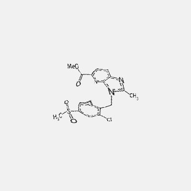 COC(=O)c1ccc2nc(C)n(Cc3ccc(S(C)(=O)=O)cc3Cl)c2n1